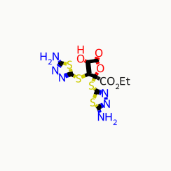 CCOC(=O)C1(Sc2nnc(N)s2)OC(=O)C(O)=C1Sc1nnc(N)s1